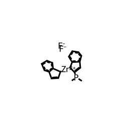 CP(C)C1=Cc2ccccc2[CH]1[Zr+2][CH]1C=Cc2ccccc21.[F-].[F-]